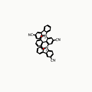 N#Cc1cc(-n2c3ccccc3c3cc(C#N)ccc32)c(-c2c(C(F)(F)F)cccc2C(F)(F)F)c(-n2c3ccccc3c3cc(C#N)ccc32)c1